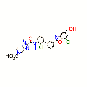 Cc1c(-c2nc3cc(CO)cc(Cl)c3o2)cccc1-c1cccc(NC(=O)c2nc3c(n2C)CCN(C(=O)O)C3)c1Cl